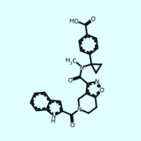 CN(C(=O)c1noc2c1CN(C(=O)c1cc3ccccc3[nH]1)CC2)C1(c2ccc(C(=O)O)cc2)CC1